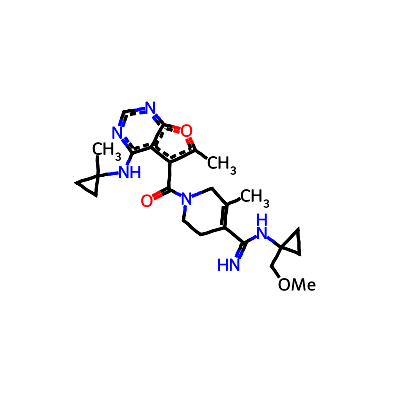 COCC1(NC(=N)C2=C(C)CN(C(=O)c3c(C)oc4ncnc(NC5(C)CC5)c34)CC2)CC1